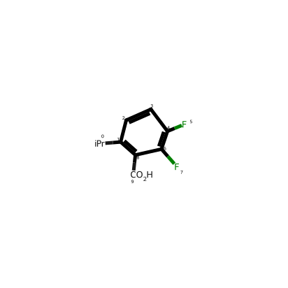 CC(C)c1ccc(F)c(F)c1C(=O)O